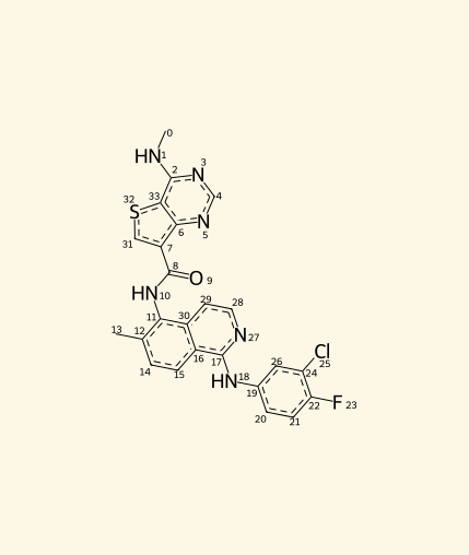 CNc1ncnc2c(C(=O)Nc3c(C)ccc4c(Nc5ccc(F)c(Cl)c5)nccc34)csc12